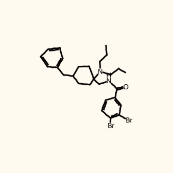 CCCN(CCC)C1(CNC(=O)c2ccc(Br)c(Br)c2)CCC(Cc2ccccc2)CC1